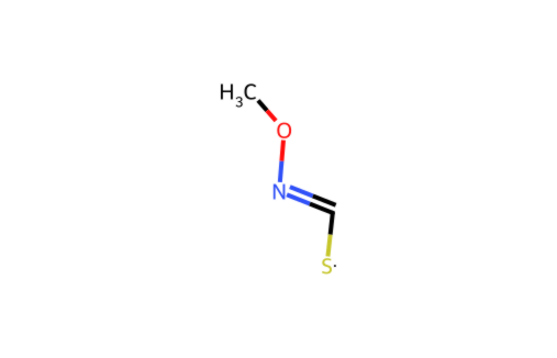 CON=C[S]